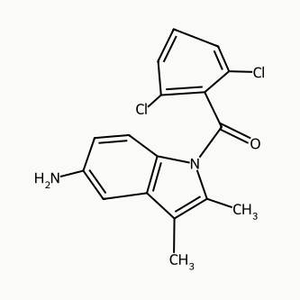 Cc1c(C)n(C(=O)c2c(Cl)cccc2Cl)c2ccc(N)cc12